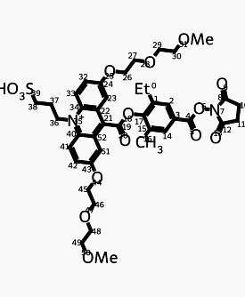 CCc1cc(C(=O)ON2C(=O)CCC2=O)cc(C)c1OC(=O)c1c2cc(OCCOCCOC)ccc2[n+](CCCS(=O)(=O)O)c2ccc(OCCOCCOC)cc12